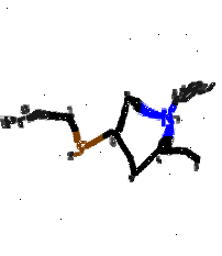 CC(C)CSC1CC(C)N(C(C)(C)C)C1